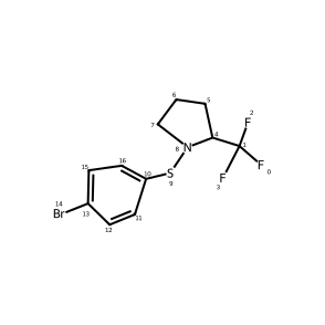 FC(F)(F)C1CCCN1Sc1ccc(Br)cc1